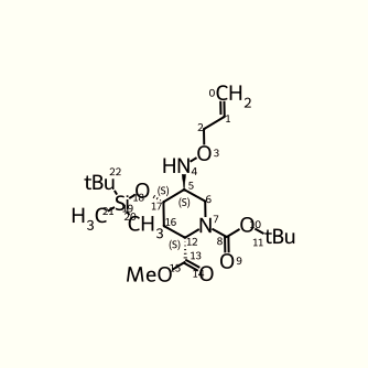 C=CCON[C@H]1CN(C(=O)OC(C)(C)C)[C@H](C(=O)OC)C[C@@H]1O[Si](C)(C)C(C)(C)C